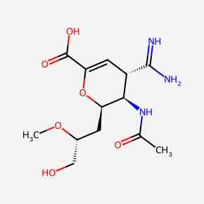 CO[C@@H](CO)C[C@H]1OC(C(=O)O)=C[C@H](C(=N)N)[C@H]1NC(C)=O